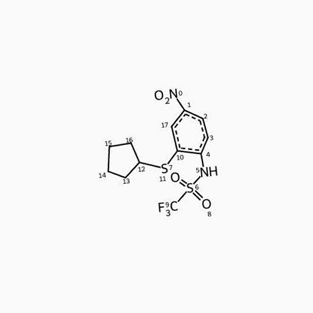 O=[N+]([O-])c1ccc(NS(=O)(=O)C(F)(F)F)c(SC2CCCC2)c1